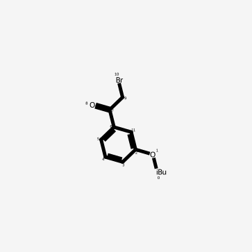 CCC(C)Oc1cccc(C(=O)CBr)c1